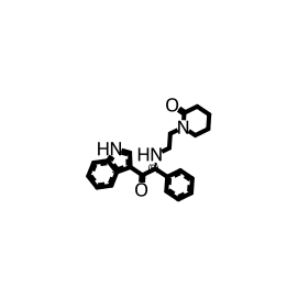 O=C(c1c[nH]c2ccccc12)[C@H](NCCN1CCCCC1=O)c1ccccc1